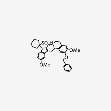 COc1ccc2c(c1)c1c(n2C2(S(=O)(=O)O)CCCCC2)CN2CCc3cc(OC)c(OCc4ccccc4)cc3C2C1